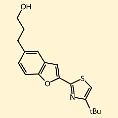 CC(C)(C)c1csc(-c2cc3cc(CCCO)ccc3o2)n1